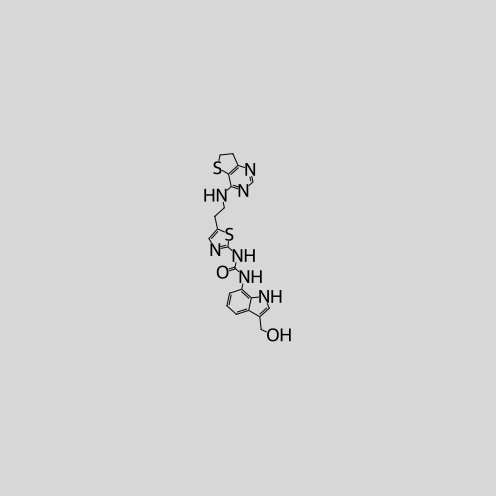 O=C(Nc1ncc(CCNc2ncnc3c2SCC3)s1)Nc1cccc2c(CO)c[nH]c12